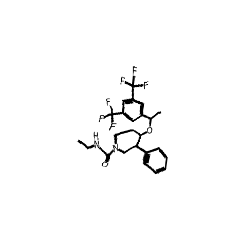 CCNC(=O)N1CCC(OC(C)c2cc(C(F)(F)F)cc(C(F)(F)F)c2)C(c2ccccc2)C1